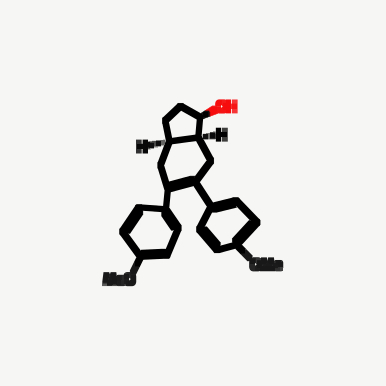 COc1ccc(C2=C(c3ccc(OC)cc3)C[C@H]3[C@H](CC[C@H]3O)C2)cc1